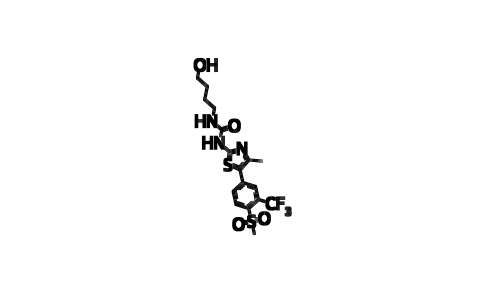 Cc1nc(NC(=O)NCCCCO)sc1-c1ccc(S(C)(=O)=O)c(C(F)(F)F)c1